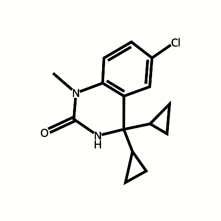 CN1C(=O)NC(C2CC2)(C2CC2)c2cc(Cl)ccc21